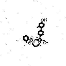 COC[C@@H]1C(c2ccc(-c3ccc(O)cc3C)cc2)[C@@H]2CN(S(=O)(=O)c3ccccc3C)CCCCN12